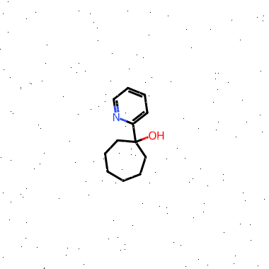 OC1(c2ccccn2)CCCCCC1